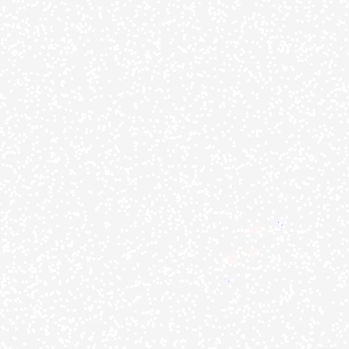 CCCCCCCCCCCCCCCCCC[N+](C)(C)CC(O)COCC(O)C[N+](C)(C)CCCCCCCCCCCCCCCCCC